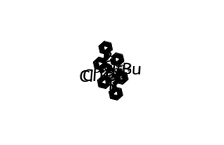 CC(C)(C)c1cccc(P(c2ccccc2)c2ccccc2)c1[O][Zr+2][O]c1c(P(c2ccccc2)c2ccccc2)cccc1C(C)(C)C.[Cl-].[Cl-]